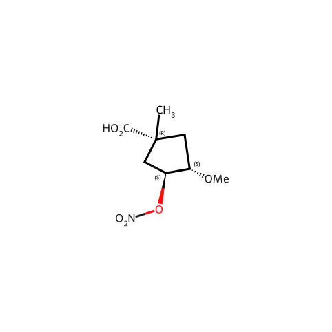 CO[C@H]1C[C@@](C)(C(=O)O)C[C@@H]1O[N+](=O)[O-]